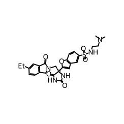 CCc1ccc2c(c1)C(=O)N(C[C@@]1(c3cc4cc(S(=O)(=O)NCCN(C)C)ccc4o3)NC(=O)NC1=O)C2